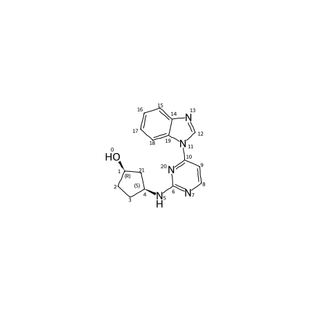 O[C@@H]1CC[C@H](Nc2nccc(-n3cnc4ccccc43)n2)C1